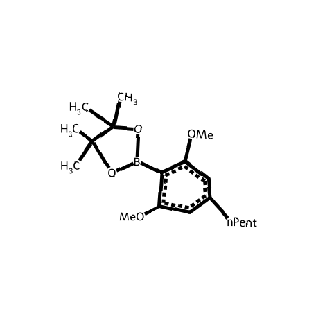 CCCCCc1cc(OC)c(B2OC(C)(C)C(C)(C)O2)c(OC)c1